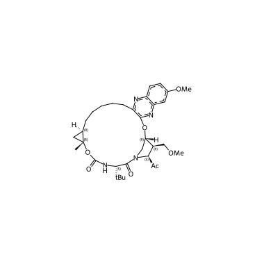 COC[C@@H]1[C@@H]2CN(C(=O)[C@H](C(C)(C)C)NC(=O)O[C@]3(C)C[C@H]3CCCCCc3nc4ccc(OC)cc4nc3O2)[C@@H]1C(C)=O